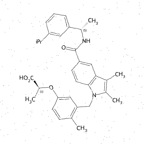 Cc1ccc(O[C@@H](C)C(=O)O)cc1Cn1c(C)c(C)c2cc(C(=O)N[C@@H](C)c3cccc(C(C)C)c3)ccc21